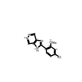 CCc1ccc(-c2nc3cnncc3[nH]2)c(OC)c1